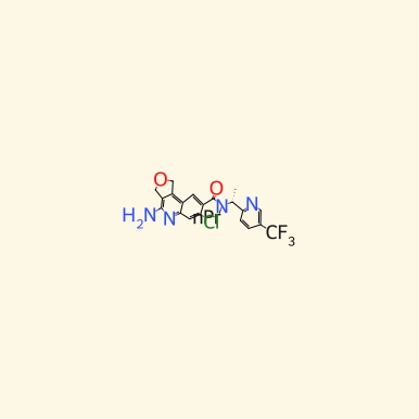 CCCN(C(=O)c1cc2c3c(c(N)nc2cc1Cl)COC3)[C@H](C)c1ccc(C(F)(F)F)cn1